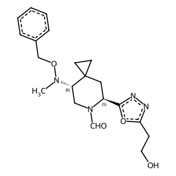 CN(OCc1ccccc1)[C@H]1CN(C=O)[C@H](c2nnc(CCO)o2)CC12CC2